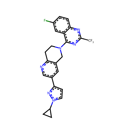 Fc1ccc2nc(C(F)(F)F)nc(N3CCc4ncc(-c5ccn(C6CC6)n5)cc4C3)c2c1